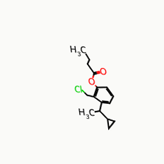 CCCC(=O)Oc1cccc(C(C)C2CC2)c1CCl